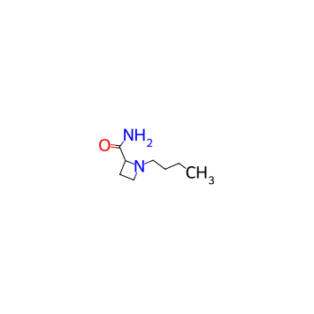 CCCCN1CCC1C(N)=O